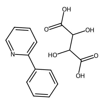 O=C(O)C(O)C(O)C(=O)O.c1ccc(-c2ccccn2)cc1